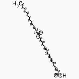 CCCCCCCCCCCCCCCC(=O)OCCCCCCCCCCCCCCCCCC(=O)O